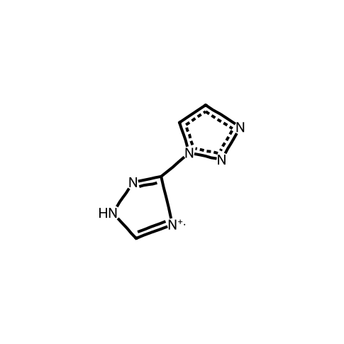 C1=[N+]C(n2ccnn2)=NN1